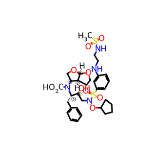 CS(=O)(=O)NCCNc1cccc(S(=O)(=O)N(C[C@@H](O)[C@H](Cc2ccccc2)N(C(=O)O)[C@H]2CO[C@H]3OCC[C@H]32)OC2CCCC2)c1